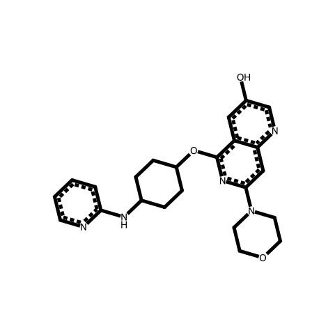 Oc1cnc2cc(N3CCOCC3)nc(OC3CCC(Nc4ccccn4)CC3)c2c1